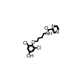 O=C(NCCCCOc1c(Cl)cc(O)cc1Cl)c1cnccn1